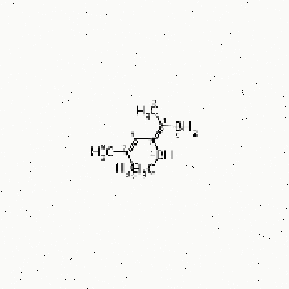 B/C(C)=C(\BC)C=C(C)C